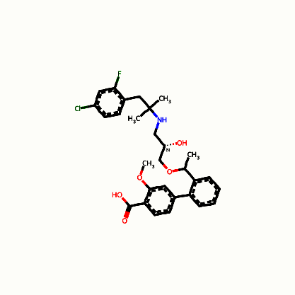 COc1cc(-c2ccccc2C(C)OC[C@@H](O)CNC(C)(C)Cc2ccc(Cl)cc2F)ccc1C(=O)O